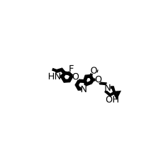 COc1cc2c(Oc3ccc4[nH]c(C)cc4c3F)ccnc2cc1OCCN1C[C@H](O)C2(CC2)C1